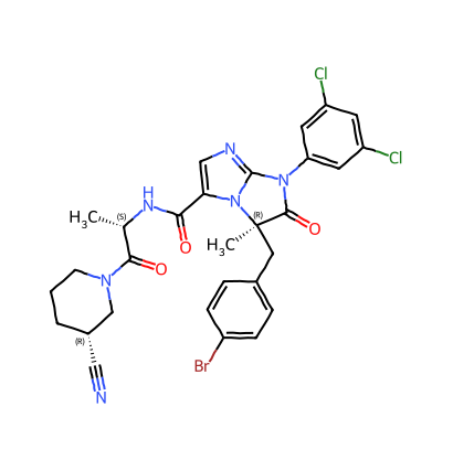 C[C@H](NC(=O)c1cnc2n1[C@](C)(Cc1ccc(Br)cc1)C(=O)N2c1cc(Cl)cc(Cl)c1)C(=O)N1CCC[C@@H](C#N)C1